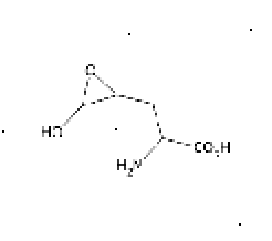 NC(CC1OC1O)C(=O)O